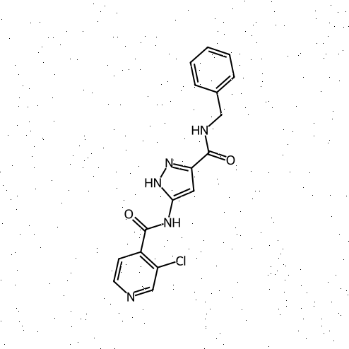 O=C(NCc1ccccc1)c1cc(NC(=O)c2ccncc2Cl)[nH]n1